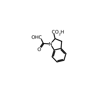 O=CC(=O)N1c2ccccc2CC1C(=O)O